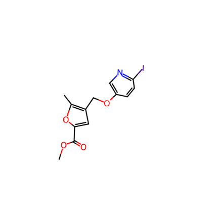 COC(=O)c1cc(COc2ccc(I)nc2)c(C)o1